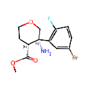 COC(=O)[C@@H]1CCOC[C@@]1(N)c1cc(Br)ccc1F